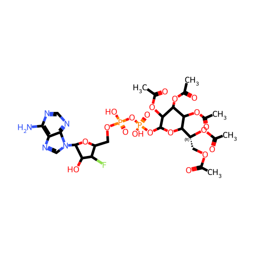 CC(=O)OC[C@@H](OC(C)=O)C1OC(OP(=O)(O)OP(=O)(O)OCC2OC(n3cnc4c(N)ncnc43)C(O)C2F)C(OC(C)=O)C(OC(C)=O)C1OC(C)=O